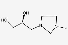 CN1CCN(C[C@H](O)CO)C1